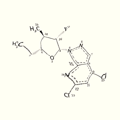 CC[C@H]1O[C@@H](n2ncc3c(Cl)cc(Cl)nc32)[C@@H](F)[C@@H]1C